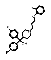 Cc1ccccc1OCCCN1CCC(C(O)(c2ccc(F)cc2)c2ccc(F)cc2)CC1